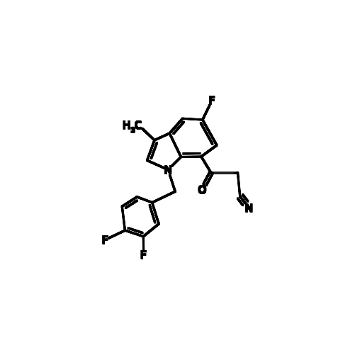 Cc1cn(Cc2ccc(F)c(F)c2)c2c(C(=O)CC#N)cc(F)cc12